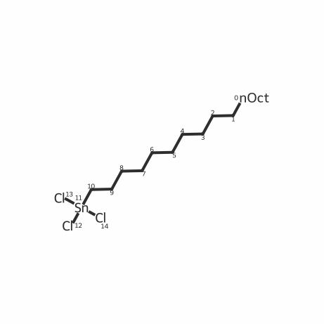 CCCCCCCCCCCCCCCCC[CH2][Sn]([Cl])([Cl])[Cl]